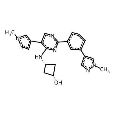 Cn1cc(-c2cccc(-c3ncc(-c4cnn(C)c4)c(N[C@H]4C[C@@H](O)C4)n3)c2)cn1